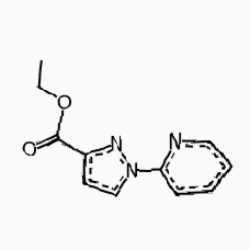 CCOC(=O)c1ccn(-c2ccccn2)n1